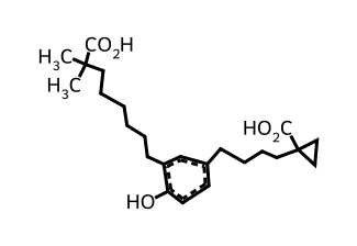 CC(C)(CCCCCCc1cc(CCCCC2(C(=O)O)CC2)ccc1O)C(=O)O